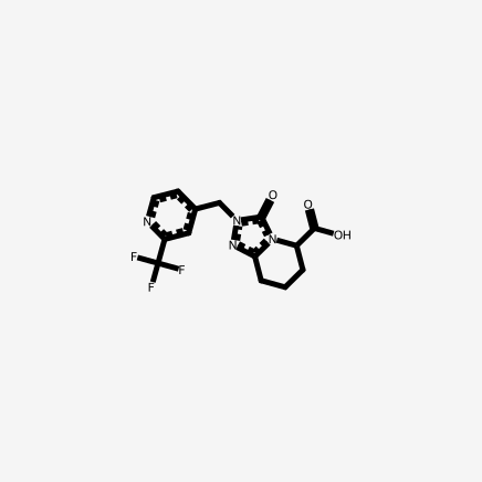 O=C(O)C1CCCc2nn(Cc3ccnc(C(F)(F)F)c3)c(=O)n21